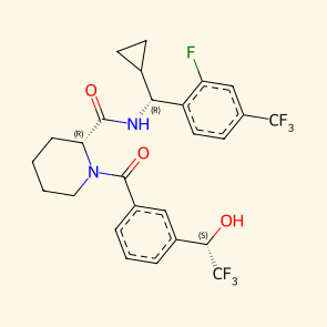 O=C(N[C@@H](c1ccc(C(F)(F)F)cc1F)C1CC1)[C@H]1CCCCN1C(=O)c1cccc([C@H](O)C(F)(F)F)c1